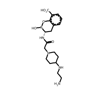 NCCNC1CCN(CC(=O)N[C@H]2Cc3cccc(C(=O)O)c3OB2O)CC1